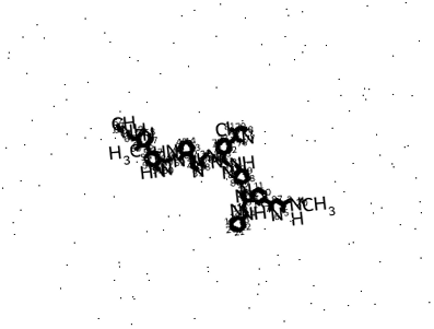 CCNCc1cncc(-c2ccc3c(c2)c(-c2nc4ccccc4[nH]2)nn3-c2ccc3[nH]c(-c4nn(Cc5cncn5-c5cccc6[nH]c(-c7n[nH]c8ccc(-c9cncc(CNCC)c9C)cc78)nc56)c5ccc(-c6cnccc6Cl)cc45)nc3c2)c1